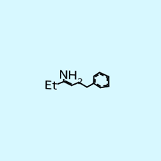 CCC(N)=CCCc1ccccc1